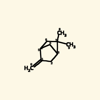 C=C1CC2C[C]1CC2(C)C